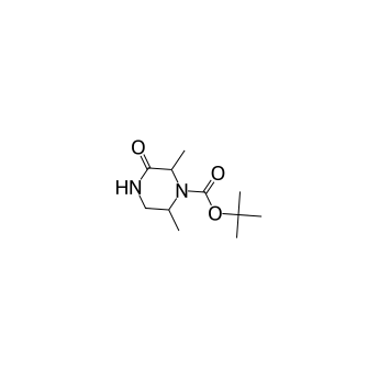 CC1CNC(=O)C(C)N1C(=O)OC(C)(C)C